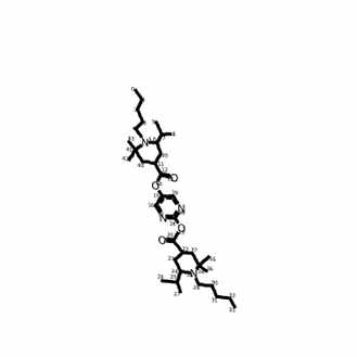 CCCCCN1C(C(C)C)CC(C(=O)Oc2cnc(OC(=O)C3CC(C(C)C)N(CCCCC)C(C)(C)C3)nc2)CC1(C)C